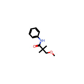 COCC(C)(C)C(=O)Nc1ccccc1